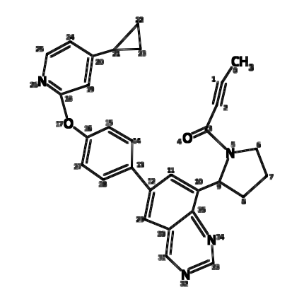 CC#CC(=O)N1CCCC1c1cc(-c2ccc(Oc3cc(C4CC4)ccn3)cc2)cc2cncnc12